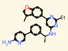 CCc1nc(N[C@@H](C)c2cccc(-c3ccc(N)nc3)c2)cc(-c2ccc3occ(C)c3c2)n1